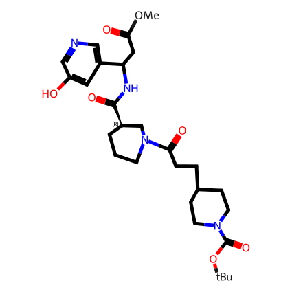 COC(=O)CC(NC(=O)[C@@H]1CCCN(C(=O)CCC2CCN(C(=O)OC(C)(C)C)CC2)C1)c1cncc(O)c1